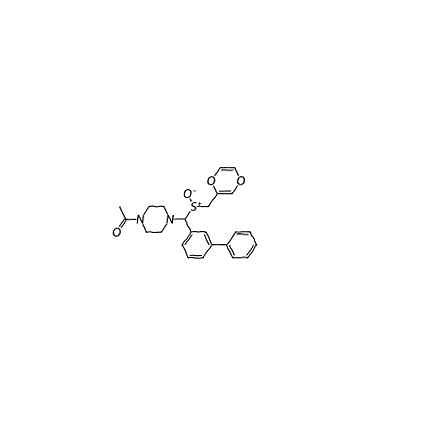 CC(=O)N1CCN(C(c2cccc(-c3ccccc3)c2)[S+]([O-])CC2=COC=CO2)CC1